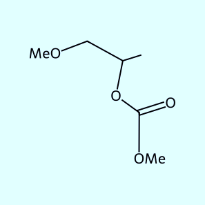 COCC(C)OC(=O)OC